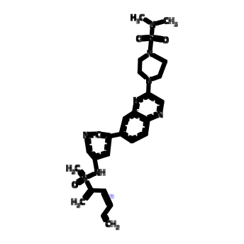 C=C/C=C\C(=C)S(=C)(=O)Nc1cncc(-c2ccc3ncc(N4CCN(S(=O)(=O)N(C)C)CC4)nc3c2)c1